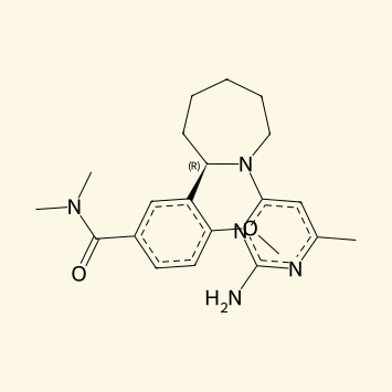 COc1ccc(C(=O)N(C)C)cc1[C@H]1CCCCCN1c1cc(C)nc(N)n1